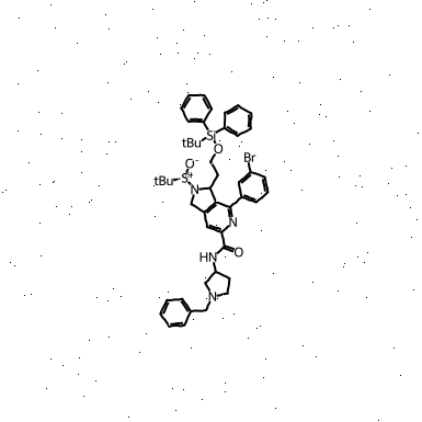 CC(C)(C)[S@@+]([O-])N1Cc2cc(C(=O)NC3CCN(Cc4ccccc4)C3)nc(-c3cccc(Br)c3)c2C1CCO[Si](c1ccccc1)(c1ccccc1)C(C)(C)C